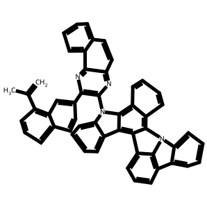 C=C(C)c1cccc2ccc(-c3nc4c(ccc5ccccc54)nc3-n3c4ccccc4c4c5c6cccc7c8ccccc8n(c76)c5c5ccccc5c43)cc12